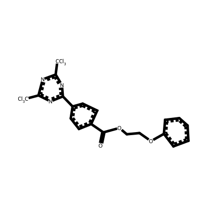 O=C(OCCOc1ccccc1)c1ccc(-c2nc(C(Cl)(Cl)Cl)nc(C(Cl)(Cl)Cl)n2)cc1